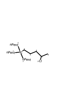 CCCCC[N+](CCCCC)(CCCCC)CCCC(C)Cl